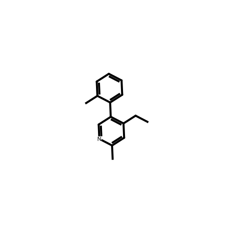 CCc1cc(C)ncc1-c1ccccc1C